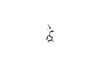 Cc1nc(-c2ccc(F)c(C)c2)co1